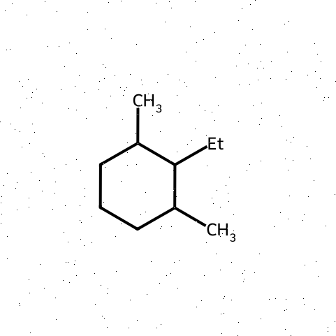 CCC1C(C)CCCC1C